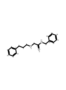 O=C(COCCCc1ccccc1)OCc1ccccc1